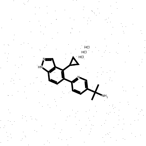 CC(C)(N)c1ccc(-c2ccc3[nH]ncc3c2C2CC2)nc1.Cl.Cl.Cl